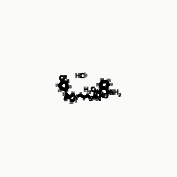 Cl.Cn1c(SCCCN2CC[C@]3(C[C@@H]3c3ccc(C(F)(F)F)cc3)C2)nnc1-c1ccccc1C(N)=O